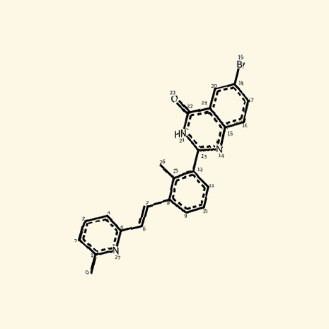 Cc1cccc(/C=C/c2cccc(-c3nc4ccc(Br)cc4c(=O)[nH]3)c2C)n1